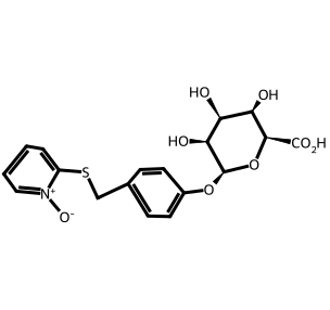 O=C(O)[C@H]1O[C@@H](Oc2ccc(CSc3cccc[n+]3[O-])cc2)[C@@H](O)[C@@H](O)[C@H]1O